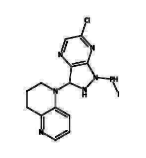 Clc1cnc2c(n1)N(PI)NC2N1CCCc2ncccc21